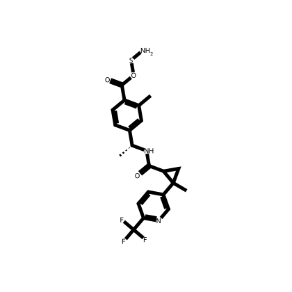 Cc1cc([C@@H](C)NC(=O)C2CC2(C)c2ccc(C(F)(F)F)nc2)ccc1C(=O)OSN